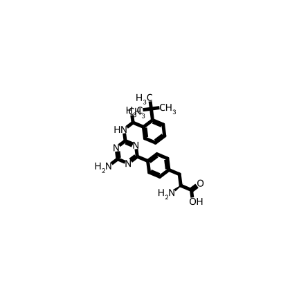 CC(Nc1nc(N)nc(-c2ccc(C[C@H](N)C(=O)O)cc2)n1)c1ccccc1C(C)(C)C